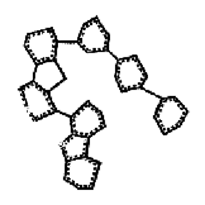 c1ccc(-c2ccc(-c3cccc(-c4cccc5c4Cc4c-5cccc4-c4cccc5c4oc4ccccc45)c3)cc2)cc1